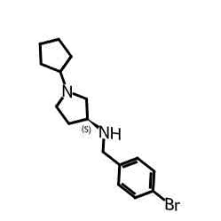 Brc1ccc(CN[C@H]2CCN(C3CCCC3)C2)cc1